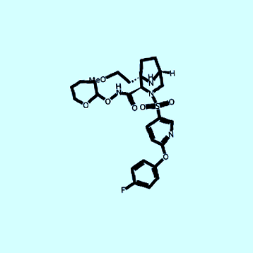 COCC[C@@]12CC[C@H](CN(S(=O)(=O)c3ccc(Oc4ccc(F)cc4)nc3)[C@H]1C(=O)NOC1CCCCO1)N2